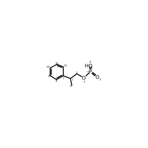 CC(CO[PH](=O)O)c1ccccc1